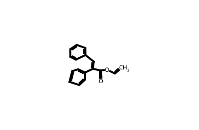 C=COC(=O)/C(=C/c1ccccc1)c1ccccc1